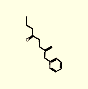 C=C(CCC(=O)CCC)Cc1ccccc1